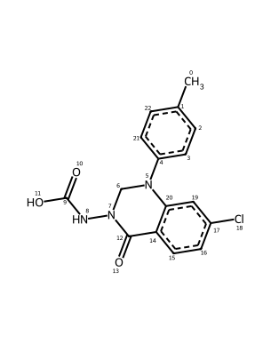 Cc1ccc(N2CN(NC(=O)O)C(=O)c3ccc(Cl)cc32)cc1